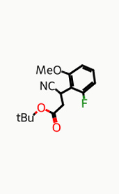 COc1cccc(F)c1C(C#N)CC(=O)OC(C)(C)C